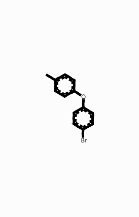 Cc1ccc(Oc2c[c]c(Br)cc2)cc1